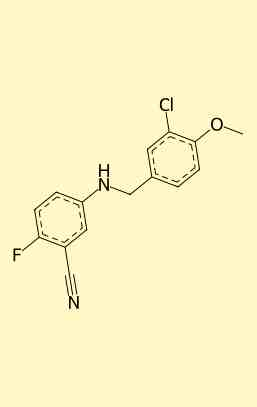 COc1ccc(CNc2ccc(F)c(C#N)c2)cc1Cl